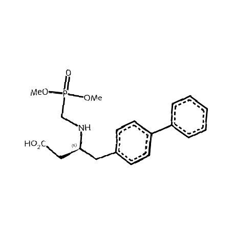 COP(=O)(CN[C@H](CC(=O)O)Cc1ccc(-c2ccccc2)cc1)OC